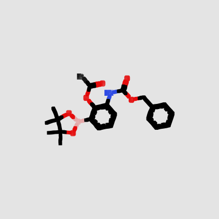 CCC(=O)Oc1c(NC(=O)OCc2ccccc2)cccc1B1OC(C)(C)C(C)(C)O1